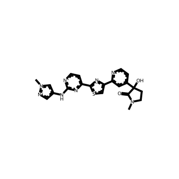 CN1CCC(O)(c2ccnc(-c3csc(-c4ccnc(Nc5cnn(C)c5)n4)n3)c2)C1=O